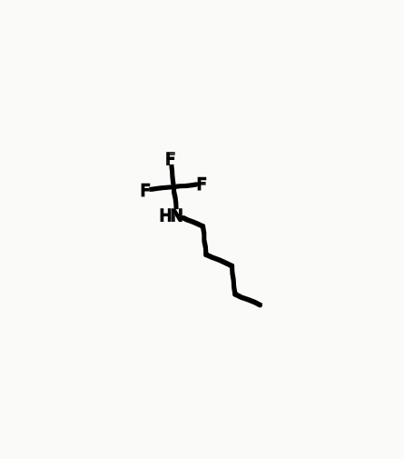 CCCCCNC(F)(F)F